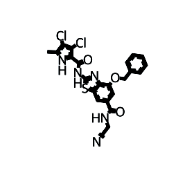 Cc1[nH]c(C(=O)Nc2nc3c(OCc4ccccc4)cc(C(=O)NCC#N)cc3s2)c(Cl)c1Cl